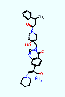 CC(CC(=O)N1CCC(O)(Cn2cnc3cc(C(=CN4CCCCC4)C(N)=O)ccc3c2=O)CC1)c1ccccc1